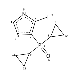 O=P(c1scnc1I)(C1CC1)C1CC1